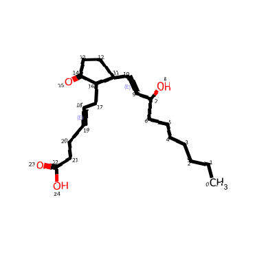 CCCCCCCC(O)/C=C/C1CCC(=O)C1C/C=C/CCC(=O)O